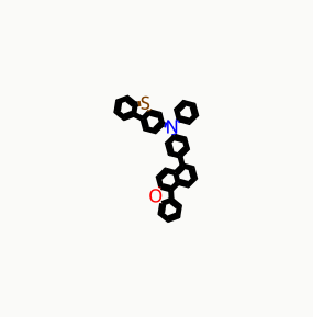 c1ccc(N(c2ccc(-c3cccc4c3ccc3oc5ccccc5c34)cc2)c2ccc3c(c2)sc2ccccc23)cc1